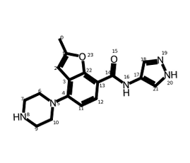 Cc1cc2c(N3CCNCC3)ccc(C(=O)Nc3cn[nH]c3)c2o1